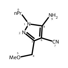 CCCn1nc(COC)c(C#N)c1N